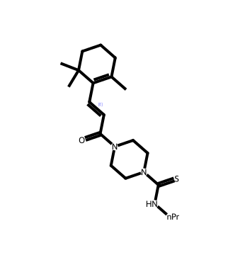 CCCNC(=S)N1CCN(C(=O)/C=C/C2=C(C)CCCC2(C)C)CC1